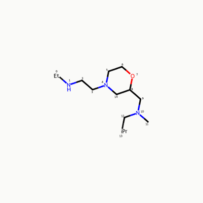 CCNCCN1CCOC(CN(C)CC(C)C)C1